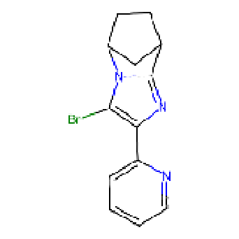 Brc1c(-c2ccccn2)nc2n1C1CCC2C1